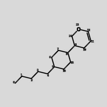 CCCCCC1CCC(C2CC=COC2)CC1